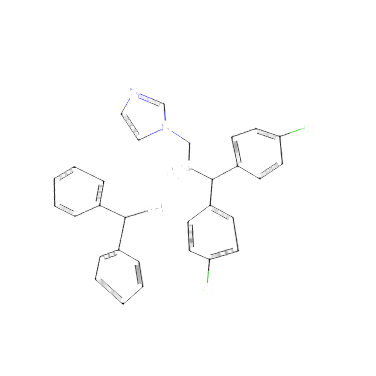 BC(c1ccccc1)c1ccccc1.Clc1ccc(C([SiH2]Cn2ccnc2)c2ccc(Cl)cc2)cc1